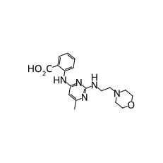 Cc1cc(Nc2ccccc2C(=O)O)nc(NCCN2CCOCC2)n1